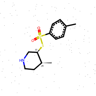 Cc1ccc(S(=O)(=O)S[C@@H]2CNCC[C@H]2C)cc1